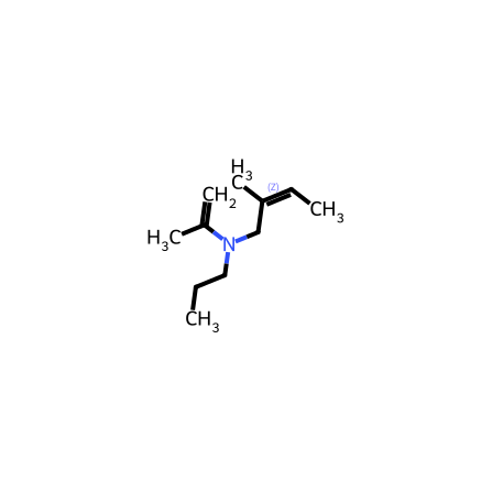 C=C(C)N(CCC)C/C(C)=C\C